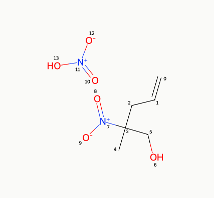 C=CCC(C)(CO)[N+](=O)[O-].O=[N+]([O-])O